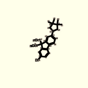 CCCCCCCCC1(CCCCCCCC)c2cc(CC)ccc2-c2ccc(B3CC(C)(C)C(C)(C)C3)cc21